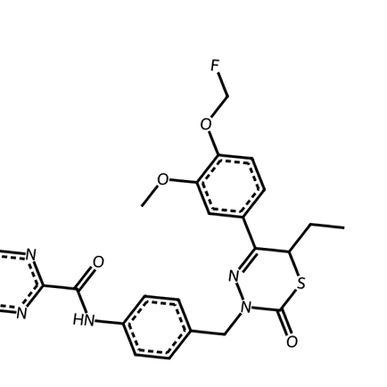 CCC1SC(=O)N(Cc2ccc(NC(=O)c3ncccn3)cc2)N=C1c1ccc(OCF)c(OC)c1